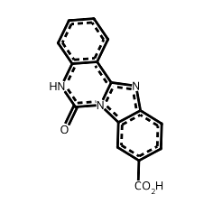 O=C(O)c1ccc2nc3c4ccccc4[nH]c(=O)n3c2c1